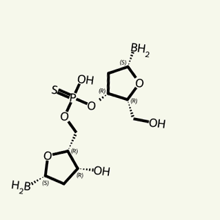 B[C@H]1C[C@@H](O)[C@@H](COP(O)(=S)O[C@@H]2C[C@H](B)O[C@@H]2CO)O1